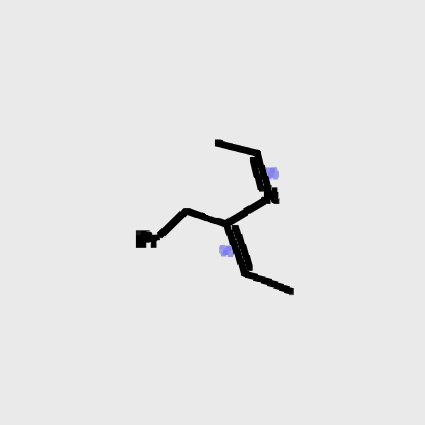 C/C=N\C(=C/C)CC(C)C